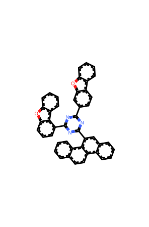 c1ccc2c(c1)cc(-c1nc(-c3ccc4c(c3)oc3ccccc34)nc(-c3cccc4oc5ccccc5c34)n1)c1c3ccccc3ccc21